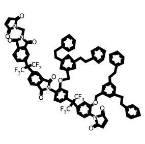 O=C1C=CC(=O)N1CN1C(=O)c2ccc(C(c3ccc4c(c3)C(=O)N(c3ccc(C(c5ccc(N6C(=O)C=CC6=O)c(OCc6cc(CCc7ccccc7)cc(CCc7ccccc7)c6)c5)(C(F)(F)F)C(F)(F)F)cc3OCc3cc(CCc5ccccc5)cc(CCc5ccccc5)c3)C4=O)(C(F)(F)F)C(F)(F)F)cc2C1=O